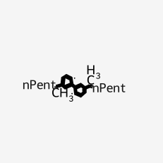 CCCCCC(C)c1cc[c]c(-c2[c]ccc(C(C)CCCCC)c2)c1